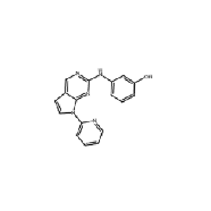 Oc1cccc(Nc2ncc3ccn(-c4ccccn4)c3n2)c1